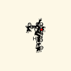 CCC(=O)O[C@H]1[C@@H](O[Si](C)(C)C)[C@](C#N)(c2ccc3c(NC(=O)OCOC(=O)C(C)(C)C)ncnn23)O[C@@H]1COC(=O)[C@@H](C)C(C)C